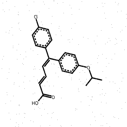 CC(C)Oc1ccc(/C(=C\C=C\C(=O)O)c2ccc(Cl)cc2)cc1